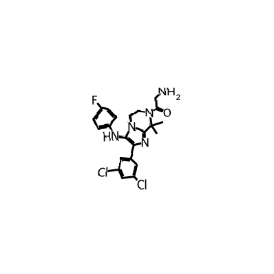 CC1(C)c2nc(-c3cc(Cl)cc(Cl)c3)c(Nc3ccc(F)cc3)n2CCN1C(=O)CN